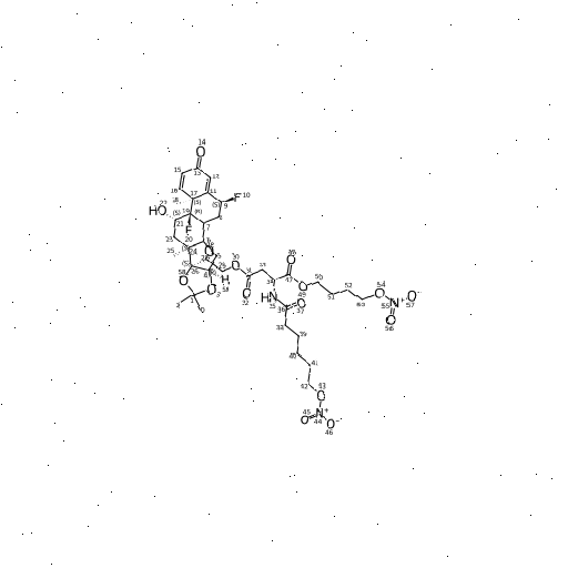 CC1(C)O[C@@H]2CC3C4C[C@H](F)C5=CC(=O)C=C[C@]5(C)[C@@]4(F)[C@@H](O)C[C@]3(C)[C@]2(C(=O)COC(=O)CC(NC(=O)CCCCCO[N+](=O)[O-])C(=O)OCCCCO[N+](=O)[O-])O1